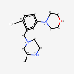 C[C@H]1CN(Cc2cc(N3CCOCC3)ccc2C(F)(F)F)CCN1